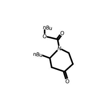 CCCCOC(=O)N1CCC(=O)CC1CCCC